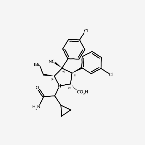 CC(C)(C)C[C@@H]1N(C(C(N)=O)C2CC2)[C@@H](C(=O)O)[C@H](c2cccc(Cl)c2)[C@@]1(C#N)c1ccc(Cl)cc1